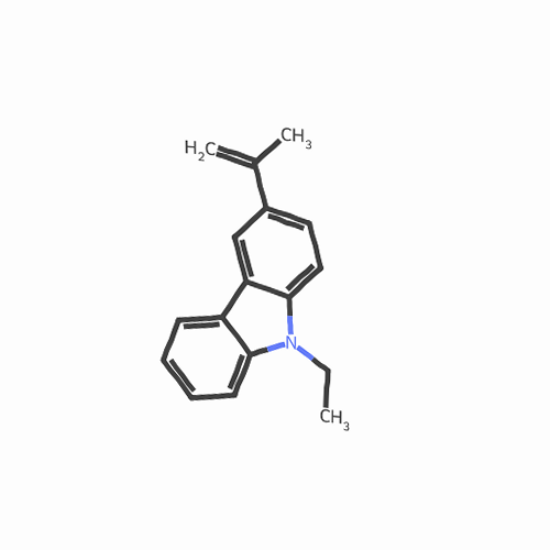 C=C(C)c1ccc2c(c1)c1ccccc1n2CC